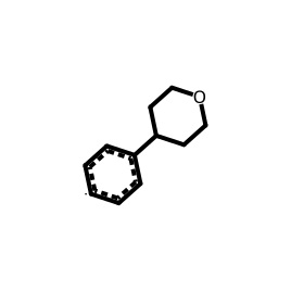 [c]1ccc(C2CCOCC2)cc1